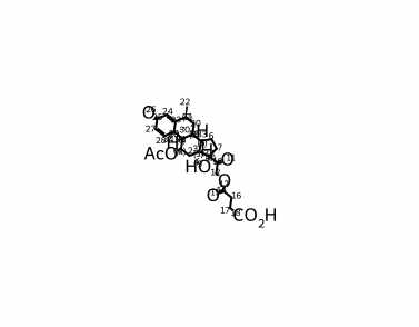 CC(=O)O[C@@H]1C[C@@]2(C)[C@@H](CC[C@]2(O)C(=O)COC(=O)CCC(=O)O)[C@@H]2C[C@H](C)C3=CC(=O)C=C[C@]3(C)[C@H]21